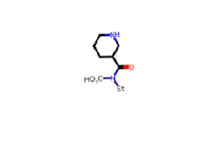 CCN(C(=O)O)C(=O)C1CCCNC1